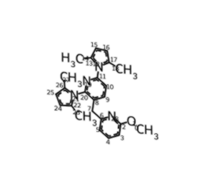 COc1cccc(Cc2ccc(-n3c(C)ccc3C)nc2-n2c(C)ccc2C)n1